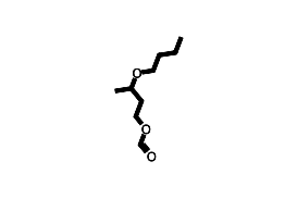 CCCCOC(C)CCOC=O